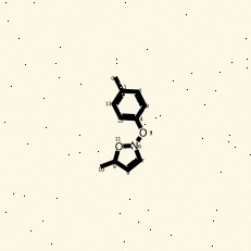 Cc1ccc(ON2C=CC(C)O2)cc1